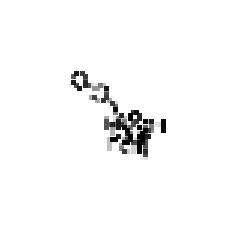 C[C@@](O)(C(F)F)[C@H](NC/C=C/c1ccc(-c2ccccc2)cc1)C(=O)NO